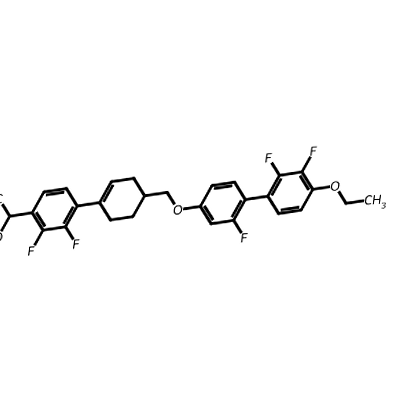 CCOc1ccc(-c2ccc(OCC3CC=C(c4ccc(C(C)O)c(F)c4F)CC3)cc2F)c(F)c1F